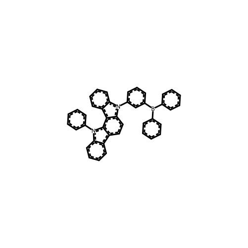 c1ccc(B(c2ccccc2)c2cccc(-n3c4ccccc4c4c3ccc3c5ccccc5n(-c5ccccc5)c34)c2)cc1